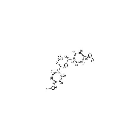 COC.COc1ccc(COCc2ccc(OC)cc2)cc1